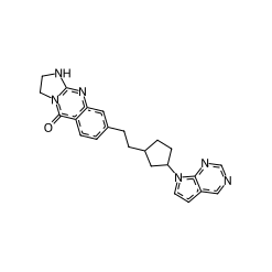 O=c1c2ccc(CCC3CCC(n4ccc5cncnc54)C3)cc2nc2n1CCN2